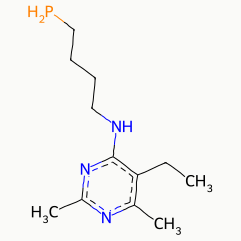 CCc1c(C)nc(C)nc1NCCCCP